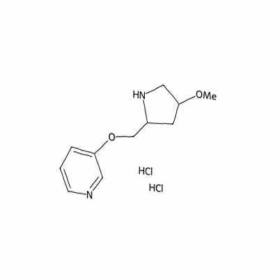 COC1CNC(COc2cccnc2)C1.Cl.Cl